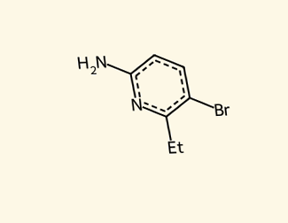 CCc1nc(N)ccc1Br